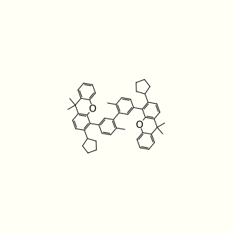 Cc1ccc(-c2c(C3CCCC3)ccc3c2Oc2ccccc2C3(C)C)cc1-c1cc(-c2c(C3CCCC3)ccc3c2Oc2ccccc2C3(C)C)ccc1C